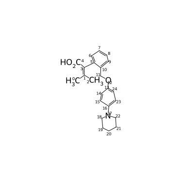 CC(C)=C(C(=O)O)c1ccccc1COc1ccc(N2CCCCC2)cc1